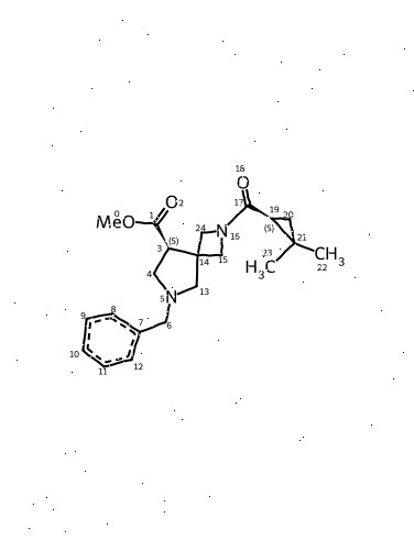 COC(=O)[C@@H]1CN(Cc2ccccc2)CC12CN(C(=O)[C@H]1CC1(C)C)C2